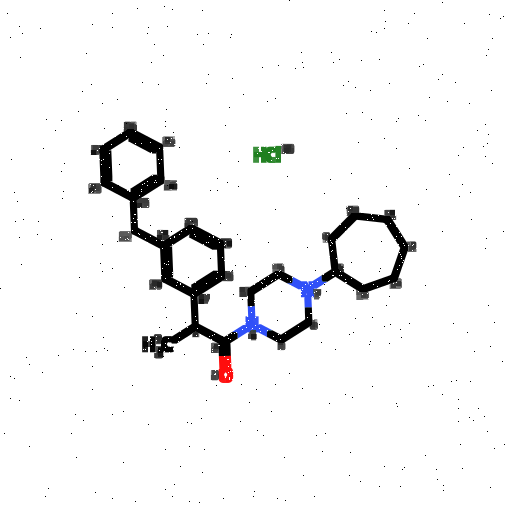 CC(C(=O)N1CCN(C2CCCCCC2)CC1)c1cccc(Cc2ccccc2)c1.Cl